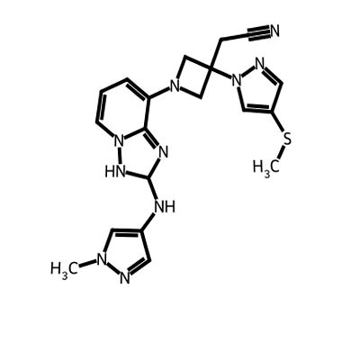 CSc1cnn(C2(CC#N)CN(C3=CC=CN4NC(Nc5cnn(C)c5)N=C34)C2)c1